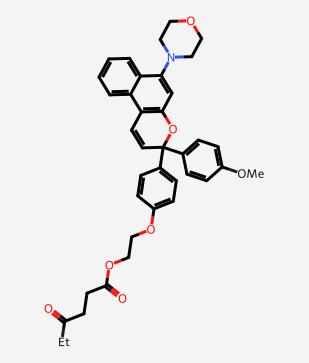 CCC(=O)CCC(=O)OCCOc1ccc(C2(c3ccc(OC)cc3)C=Cc3c(cc(N4CCOCC4)c4ccccc34)O2)cc1